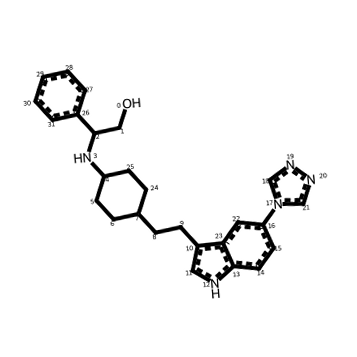 OCC(NC1CCC(CCc2c[nH]c3ccc(-n4cnnc4)cc23)CC1)c1ccccc1